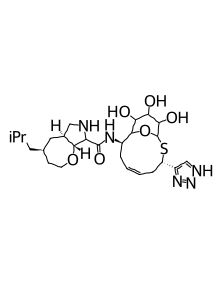 CC(C)C[C@@H]1CCO[C@H]2C(C(=O)N[C@@H]3C/C=C\C[C@@H](c4c[nH]nn4)SC4OC3C(O)C(O)C4O)NC[C@@H]2C1